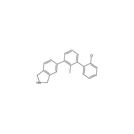 Cc1c(-c2ccc3c(c2)CNC3)cccc1-c1ccccc1Cl